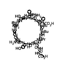 C#CC[C@H](NC(=O)CNC(=O)CNC(=O)[C@@H]1CSCC(=O)N[C@@H](Cc2ccc(O)cc2)C(=O)N(C)[C@@H](C)C(=O)N[C@@H](CC(N)=O)C(=O)N2CCC[C@H]2C(=O)N[C@@H](CN)C(=O)N[C@@H](CC(C)C)C(=O)N2C[C@H](O)C[C@H]2C(=O)N[C@@H](Cc2c[nH]c3ccccc23)C(=O)N[C@@H](CCN)C(=O)N[C@@H](Cc2cn(CC(=O)O)c3ccccc23)C(=O)N(C)[C@@H](CCCC)C(=O)N(C)[C@@H](CCCC)C(=O)N[C@@H](CC(C)C)C(=O)N1)C(=O)O